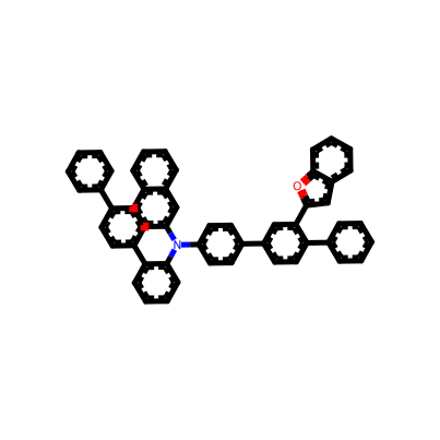 c1ccc(-c2ccc(-c3ccccc3N(c3ccc(-c4ccc(-c5ccccc5)c(-c5cc6ccccc6o5)c4)cc3)c3ccc4ccccc4c3)cc2)cc1